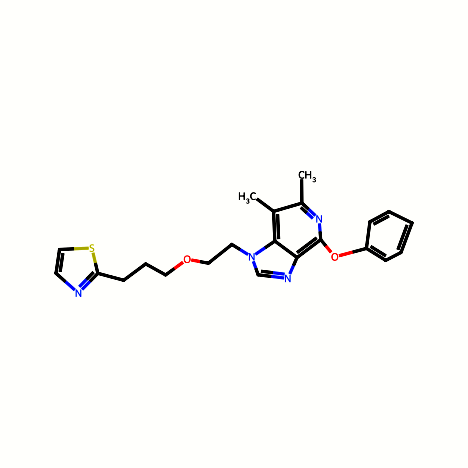 Cc1nc(Oc2ccccc2)c2ncn(CCOCCCc3nccs3)c2c1C